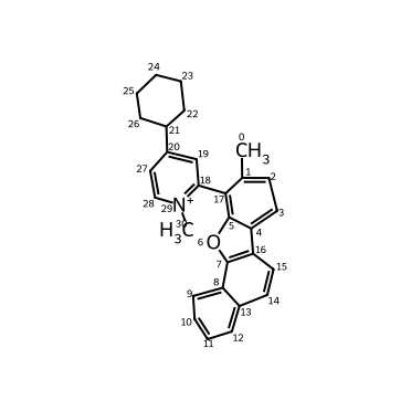 Cc1ccc2c(oc3c4ccccc4ccc23)c1-c1cc(C2CCCCC2)cc[n+]1C